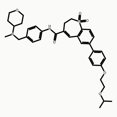 CC(C)OCCOc1ccc(-c2ccc3c(c2)C=C(C(=O)Nc2ccc(CN(C)C4CCOCC4)cc2)CCS3(=O)=O)cc1